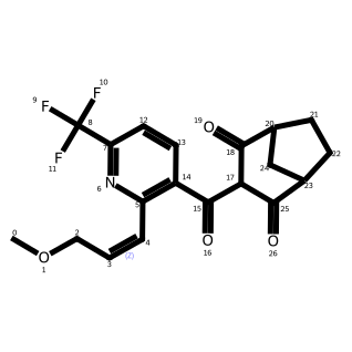 COC/C=C\c1nc(C(F)(F)F)ccc1C(=O)C1C(=O)C2CCC(C2)C1=O